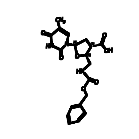 Cc1cn([C@H]2C[C@H](C(=O)O)[C@@H](CNC(=O)OCc3ccccc3)O2)c(=O)[nH]c1=O